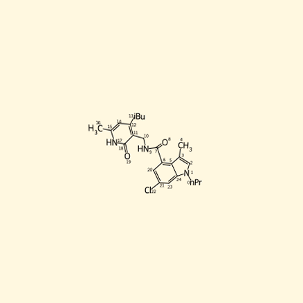 CCCn1cc(C)c2c(C(=O)NCc3c(C(C)CC)cc(C)[nH]c3=O)cc(Cl)cc21